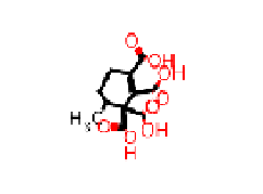 CC1CCC(C(=O)O)=C(C(=O)O)C1(C(=O)O)C(=O)O